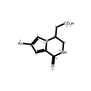 CC(=O)c1cc2n(c1)C(CC(=O)O)CNC2=O